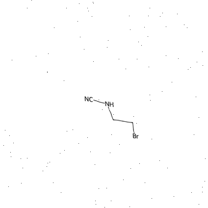 N#CNCCBr